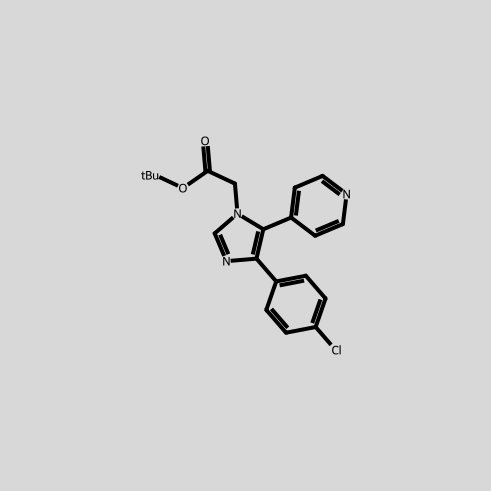 CC(C)(C)OC(=O)Cn1cnc(-c2ccc(Cl)cc2)c1-c1ccncc1